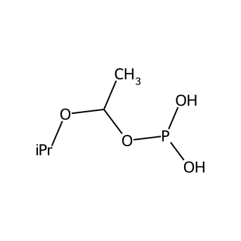 CC(C)OC(C)OP(O)O